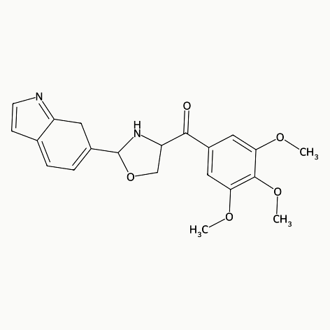 COc1cc(C(=O)C2COC(C3=CC=C4C=CN=C4C3)N2)cc(OC)c1OC